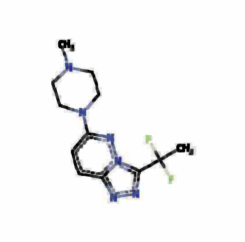 CN1CCN(c2ccc3nnc(C(C)(F)F)n3n2)CC1